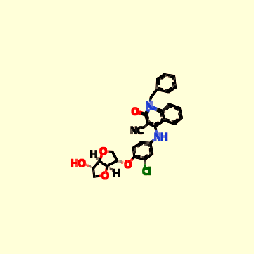 N#Cc1c(Nc2ccc(O[C@H]3CO[C@H]4[C@@H]3OC[C@@H]4O)c(Cl)c2)c2ccccc2n(Cc2ccccc2)c1=O